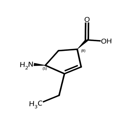 CCC1=C[C@H](C(=O)O)C[C@@H]1N